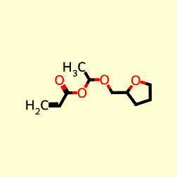 C=CC(=O)OC(C)OCC1CCCO1